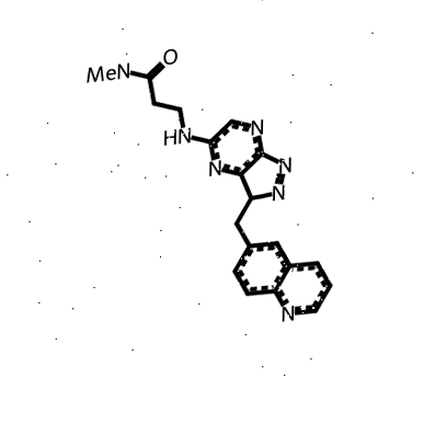 CNC(=O)CCNc1cnc2c(n1)C(Cc1ccc3ncccc3c1)N=N2